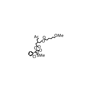 COCCCCCC(=O)OCCC(CCC(C)=O)CC(=O)OC1C(=O)N(SC)[C@H]1c1ccccc1Cl